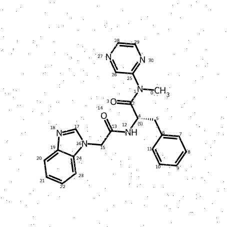 CN(C(=O)[C@H](Cc1ccccc1)NC(=O)Cn1cnc2ccccc21)c1cnccn1